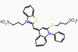 O=S(=O)(O)CCCSC1=C/C(=C\c2sc3ccccc3[n+]2CCCS(=O)(=O)O)c2ccccc2N1c1ccccc1